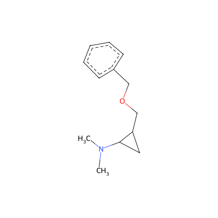 CN(C)C1CC1COCc1ccccc1